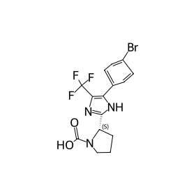 O=C(O)N1CCC[C@H]1c1nc(C(F)(F)F)c(-c2ccc(Br)cc2)[nH]1